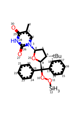 Cc1cn([C@H]2C[C@H](C(C)(C)C)[C@@H](C(OO[SiH3])(c3ccccc3)c3ccccc3)O2)c(=O)[nH]c1=O